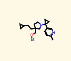 CCOCC1(CCC2CC2)CCN(C2(c3ccc(C)nc3)CC2)C1